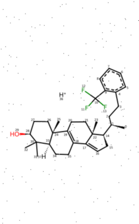 C[C@H](CCc1ccccc1C(F)(F)F)[C@H]1CC=C2C3=C(CC[C@@]21C)[C@@]1(C)CC[C@H](O)C(C)(C)[C@@H]1CC3.[H+]